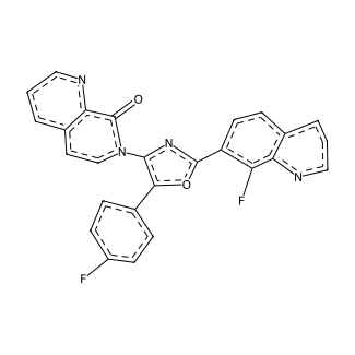 O=c1c2ncccc2ccn1-c1nc(-c2ccc3cccnc3c2F)oc1-c1ccc(F)cc1